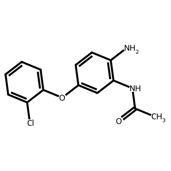 CC(=O)Nc1cc(Oc2ccccc2Cl)ccc1N